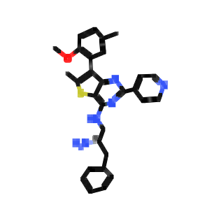 COc1ccc(C)cc1-c1c(C)sc2c(NC[C@@H](N)Cc3ccccc3)nc(-c3ccncc3)nc12